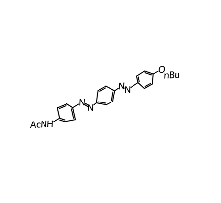 CCCCOc1ccc(N=Nc2ccc(N=Nc3ccc(NC(C)=O)cc3)cc2)cc1